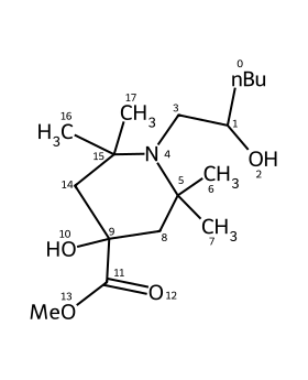 CCCCC(O)CN1C(C)(C)CC(O)(C(=O)OC)CC1(C)C